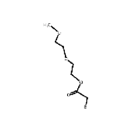 COCCOCCOC(=O)CBr